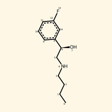 CCCCNC[C@H](O)c1cccc(F)c1